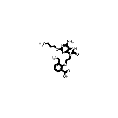 CCCCOc1nc(N)c2[nH]c(=O)n(CCOc3c(CC)cccc3C(=O)O)c2n1